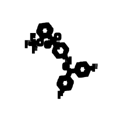 O=S(=O)(c1ccccc1OC(F)(F)F)N1CCC(=NOC(c2ccc(F)cc2)c2ccc(F)cc2)CC1